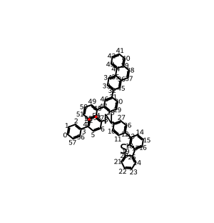 c1ccc(-c2ccc(N(c3ccc(-c4cccc5c4sc4ccccc45)cc3)c3ccc(-c4ccc5c(ccc6ccccc65)c4)cc3-c3ccccc3)cc2)cc1